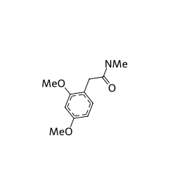 CNC(=O)Cc1ccc(OC)cc1OC